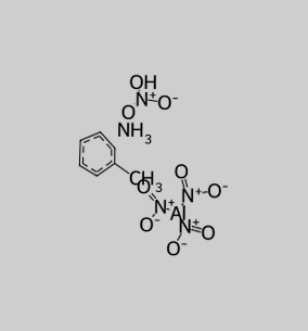 Cc1ccccc1.N.O=[N+]([O-])O.O=[N+]([O-])[Al]([N+](=O)[O-])[N+](=O)[O-]